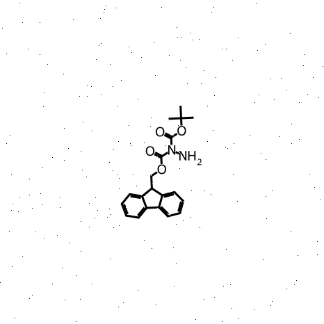 CC(C)(C)OC(=O)N(N)C(=O)OCC1c2ccccc2-c2ccccc21